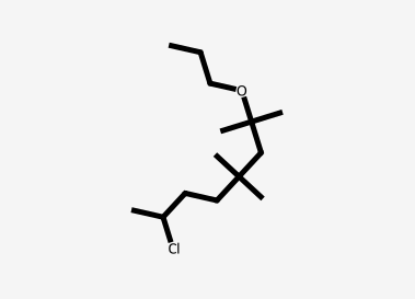 CCCOC(C)(C)CC(C)(C)CCC(C)Cl